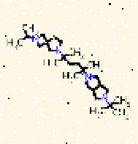 CC(C)N1CC2(CCN(C(C)(C)CCC(C)(C)N3CC4CN(C(C)(C)C)CC4C3)C2)C1